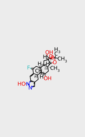 CC1(C)O[C@@H]2C[C@H]3[C@@H]4C[C@H](F)C5=Cc6c(cnn6O)C[C@]5(C)[C@H]4[C@@H](O)C[C@]3(C)[C@]2(C(=O)CO)O1